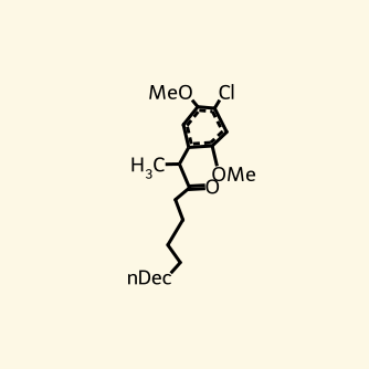 CCCCCCCCCCCCCCC(=O)C(C)c1cc(OC)c(Cl)cc1OC